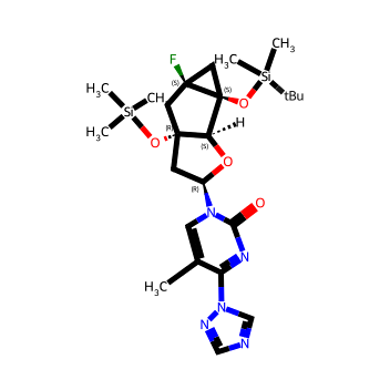 Cc1cn([C@H]2C[C@@]3(O[Si](C)(C)C)C[C@]4(F)C[C@]4(O[Si](C)(C)C(C)(C)C)[C@H]3O2)c(=O)nc1-n1cncn1